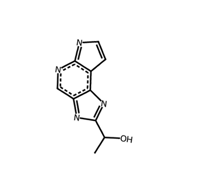 CC(O)C1=Nc2c3c(ncc2=N1)=NC=C3